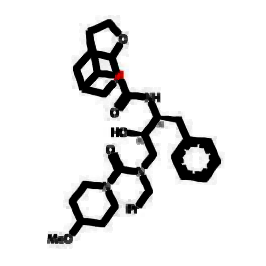 COC1CCN(C(=O)N(CC(C)C)C[C@@H](O)[C@H](Cc2ccccc2)NC(=O)OC2C3COC4OCC2C4C3)CC1